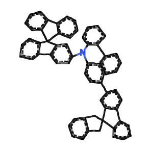 c1ccc(-c2ccccc2N(c2ccc(-c3ccc4c(c3)C3(Cc5ccccc5C3)c3ccccc3-4)cc2)c2ccc3c(c2)C2(c4ccccc4-c4ccccc42)c2ccccc2-3)cc1